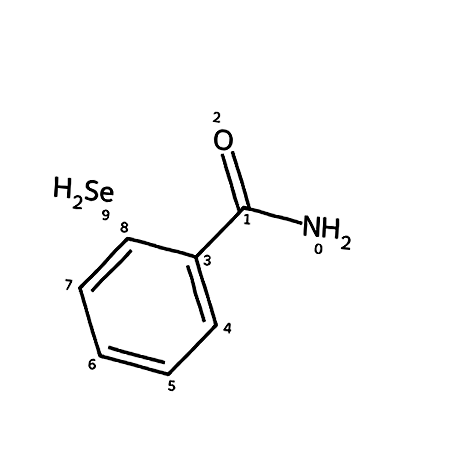 NC(=O)c1ccccc1.[SeH2]